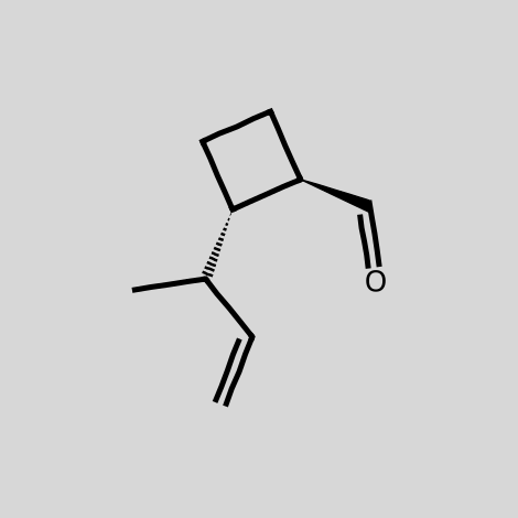 C=CC(C)[C@@H]1CC[C@H]1C=O